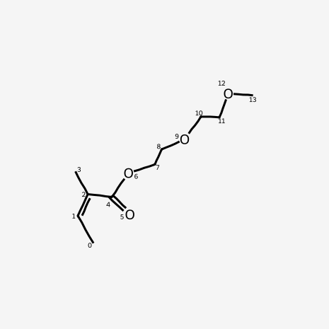 CC=C(C)C(=O)OCCOCCOC